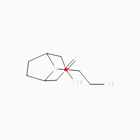 O=C(O)N1C2CCC1CN(CCO)C2